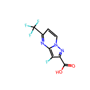 O=C(O)c1nn2ccc(C(F)(F)F)nc2c1F